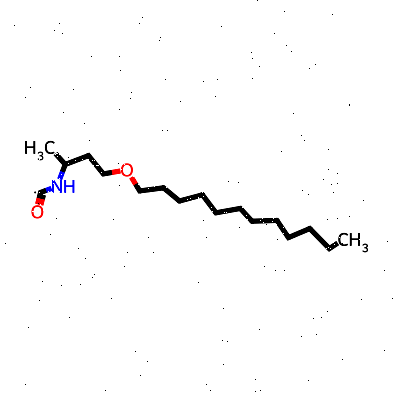 CCCCCCCCCCCCOCCC(C)N[C]=O